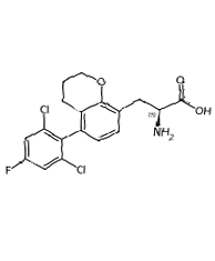 N[C@@H](Cc1ccc(-c2c(Cl)cc(F)cc2Cl)c2c1OCCC2)C(=O)O